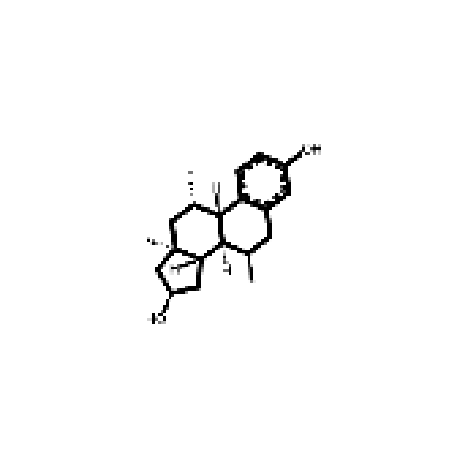 C[C@@H]1Cc2cc(O)ccc2[C@@H]2[C@@H]1[C@@H]1C[C@@H](O)C[C@@]1(C)C[C@@H]2F